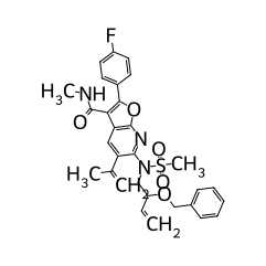 C=CC(CN(c1nc2oc(-c3ccc(F)cc3)c(C(=O)NC)c2cc1C(=C)C)S(C)(=O)=O)OCc1ccccc1